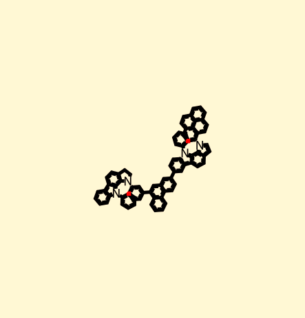 c1ccc(-n2c3ccccc3c3ccc4c(c32)N(c2cccc(-c3cc5cc(-c6ccc7c(c6)c6ccc8ccn(-c9ccc%10ccc%11cccc%12ccc9c%10c%11%12)c8c6n7-c6ccccc6)ccc5c5ccccc35)c2)CC4)cc1